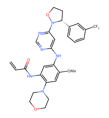 C=CC(=O)Nc1cc(Nc2cc(N3OCC[C@@H]3c3cccc(C(F)(F)F)c3)ncn2)c(OC)cc1N1CCOCC1